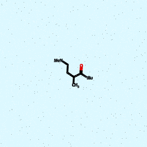 CNCCC(C)C(=O)C(C)(C)C